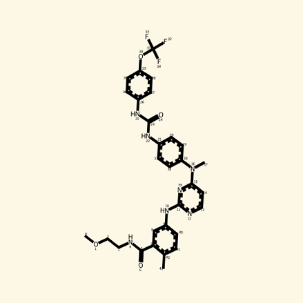 COCCNC(=O)c1cc(Nc2nccc(N(C)c3ccc(NC(=O)Nc4ccc(OC(F)(F)F)cc4)cc3)n2)ccc1C